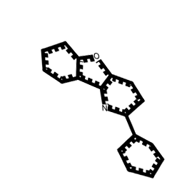 c1ccc(-c2ccc3oc4ccccc4c3n2)cc1